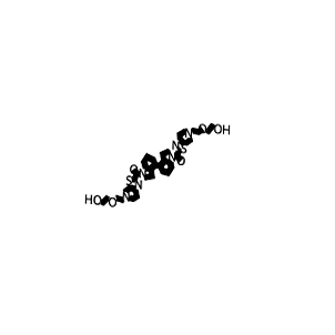 O=C(c1nc2c(s1)CN(CCOCCO)CC2)N1CCc2c(-c3cccc4c3CCN4C(=O)c3nc4c(s3)CN(CCOCCO)CC4)cccc21